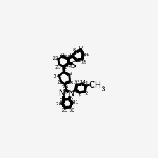 Cc1ccc(-n2c(C3=CC=C(C4=c5sc6ccccc6c5=CCC4)CC3)nc3ccccc32)cc1